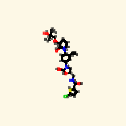 Cc1cc(N2C[C@H](CNC(=O)c3ccc(Cl)s3)OC2=O)ccc1-n1cccc(OCC(C)(C)O)c1=O